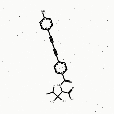 CC(O)(C(F)F)C(NC(=O)c1ccc(C#CC#Cc2ccc(N)cc2)cc1)C(=O)O